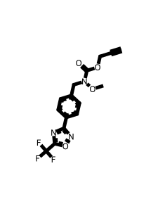 C#CCOC(=O)N(Cc1ccc(-c2noc(C(F)(F)F)n2)cc1)OC